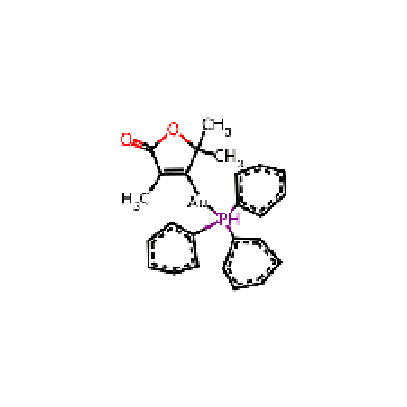 CC1=[C]([Au][PH](c2ccccc2)(c2ccccc2)c2ccccc2)C(C)(C)OC1=O